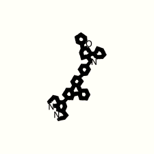 c1cnc2c(c1)cc(-c1ccc3c4ccc(-c5ccc(-c6nc7ccccc7c7c6ccc6c8ccccc8oc67)cc5)cc4c4ccccc4c3c1)c1cccnc12